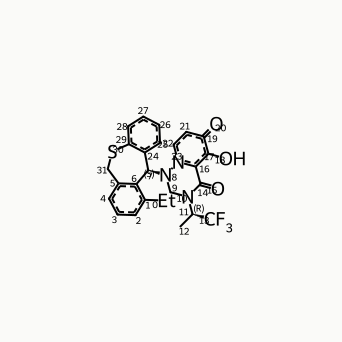 CCc1cccc2c1[C@H](N1CN([C@H](C)C(F)(F)F)C(=O)c3c(O)c(=O)ccn31)c1ccccc1SC2